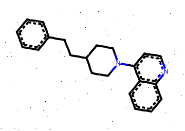 [c]1cc(N2CCC(CCc3ccccc3)CC2)c2ccccc2n1